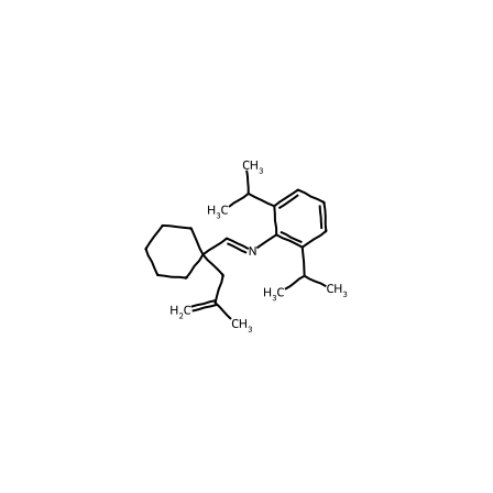 C=C(C)CC1(C=Nc2c(C(C)C)cccc2C(C)C)CCCCC1